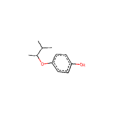 CC(C)C(C)Oc1ccc(O)cc1